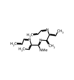 C=C/C=N\C(=C/C)C(=C)/N=C(NC)/C(=C/C)/N=C\C=C